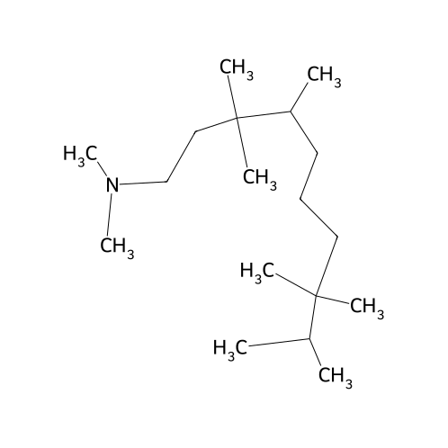 CC(C)C(C)(C)CCCC(C)C(C)(C)CCN(C)C